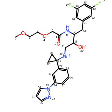 COCCOCC(=O)NC(Cc1cc(F)cc(F)c1)C(O)CNC1(c2cccc(-n3cccn3)c2)CC1